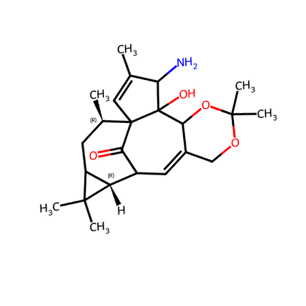 CC1=CC23C(=O)C(C=C4COC(C)(C)OC4C2(O)C1N)[C@H]1C(C[C@H]3C)C1(C)C